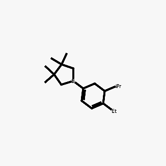 CCC1=CC=C(B2CC(C)(C)C(C)(C)C2)CC1C(C)C